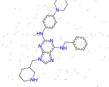 c1ccc(CNc2nc(Nc3ccc(N4CCOCC4)cc3)nc3c2ncn3CC2CCCNC2)cc1